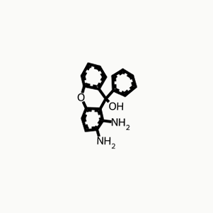 Nc1ccc2c(c1N)C(O)(c1ccccc1)c1ccccc1O2